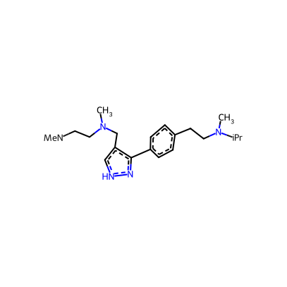 CNCCN(C)Cc1c[nH]nc1-c1ccc(CCN(C)C(C)C)cc1